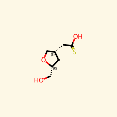 OC[C@H]1C[C@@H](CC(O)=S)CO1